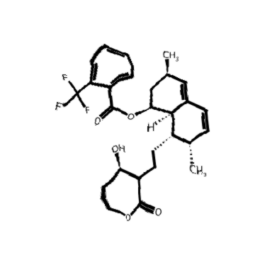 C[C@H]1C=C2C=C[C@H](C)[C@H](CCC3C(=O)OCC[C@H]3O)[C@H]2[C@@H](OC(=O)c2ccccc2C(F)(F)F)C1